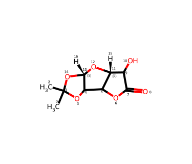 CC1(C)OC2C3OC(=O)C(O)[C@H]3O[C@H]2O1